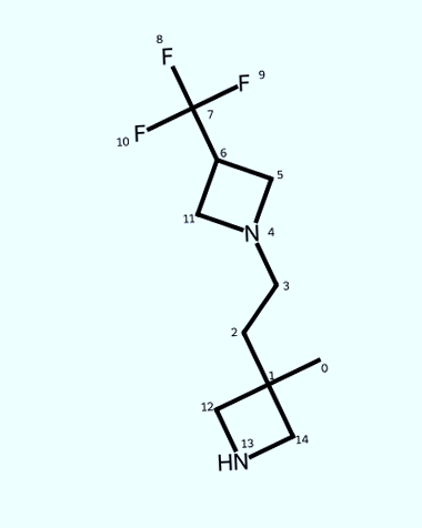 CC1(CCN2CC(C(F)(F)F)C2)CNC1